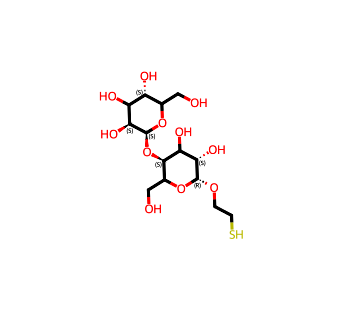 OCC1O[C@@H](O[C@@H]2C(CO)O[C@@H](OCCS)[C@@H](O)C2O)[C@@H](O)C(O)[C@@H]1O